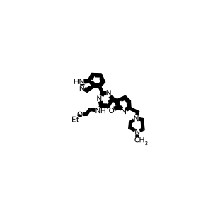 CCOCCNc1nc(-c2cccc3[nH]ncc23)nc2c1oc1nc(CN3CCN(C)CC3)ccc12